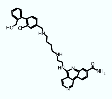 NC(=O)c1ccc2c(c1)nc(NCCNCCCCNCc1ccc(-c3ccccc3CO)c(Cl)c1)c1ccncc12